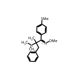 CO/N=C(\c1ccc(SC)cc1)C(C)(Cc1ccccc1)N(C)C